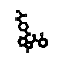 CC(C)C(=O)NC1CCC(Nc2ncnc3[nH]cc(C(=O)c4ccccc4Cl)c23)CC1